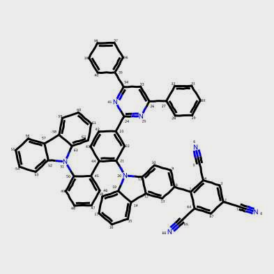 N#Cc1cc(C#N)c(-c2ccc3c(c2)c2ccccc2n3-c2cc(-c3nc(-c4ccccc4)cc(-c4ccccc4)n3)ccc2-c2ccccc2-n2c3ccccc3c3ccccc32)c(C#N)c1